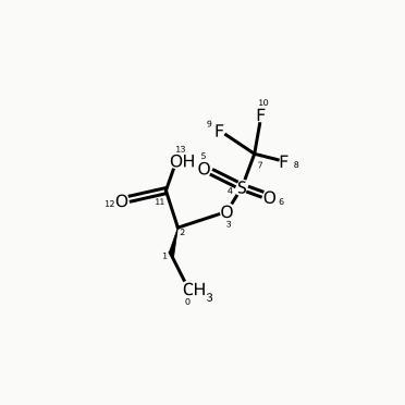 CC[C@H](OS(=O)(=O)C(F)(F)F)C(=O)O